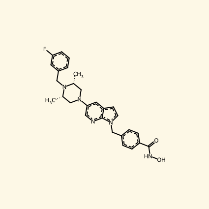 C[C@@H]1CN(c2cnc3c(ccn3Cc3ccc(C(=O)NO)cc3)c2)C[C@H](C)N1Cc1cccc(F)c1